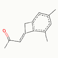 CC(=O)C=C1Cc2cc(C)cc(C)c21